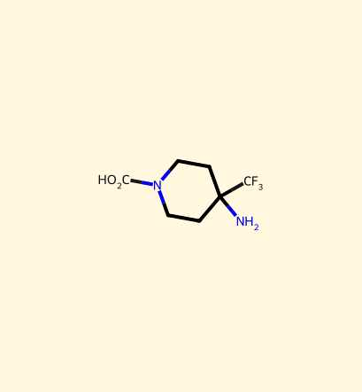 NC1(C(F)(F)F)CCN(C(=O)O)CC1